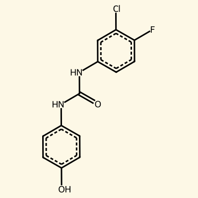 O=C(Nc1ccc(O)cc1)Nc1ccc(F)c(Cl)c1